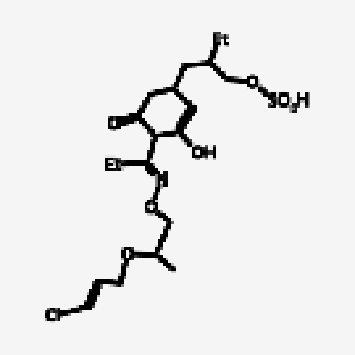 CCC(=NOCC(C)OCC=CCl)C1C(=O)CC(CC(CC)COS(=O)(=O)O)C=C1O